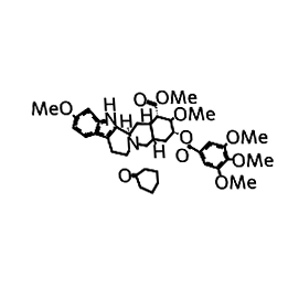 COC(=O)[C@H]1[C@H]2C[C@@H]3c4[nH]c5cc(OC)ccc5c4CCN3C[C@H]2C[C@@H](OC(=O)c2cc(OC)c(OC)c(OC)c2)[C@@H]1OC.O=C1CCCCC1